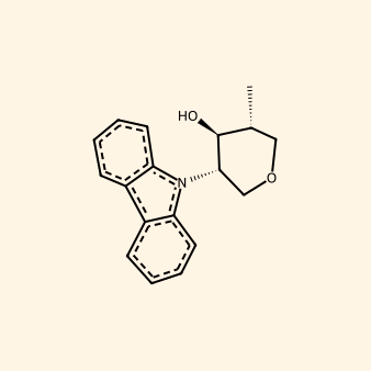 C[C@@H]1COC[C@H](n2c3ccccc3c3ccccc32)[C@H]1O